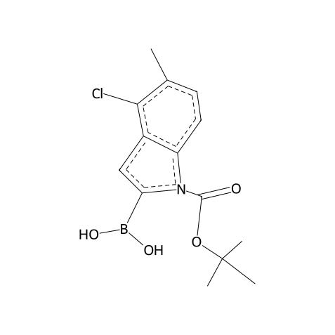 Cc1ccc2c(cc(B(O)O)n2C(=O)OC(C)(C)C)c1Cl